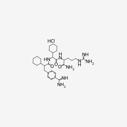 Cl.N=C(N)NCCCC(NC(=O)C(NC(=O)C(Cc1ccc(C(=N)N)cc1)C1CCCCC1)C1CCCCC1)C(N)=O